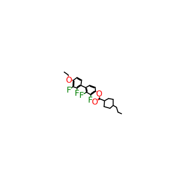 CCCC1CCC(C(=O)Oc2ccc(-c3ccc(OCC)c(F)c3F)c(F)c2F)CC1